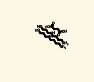 NCCCCNCCCO.NCCCCNCCCO.O=C(O)CCC(=O)O